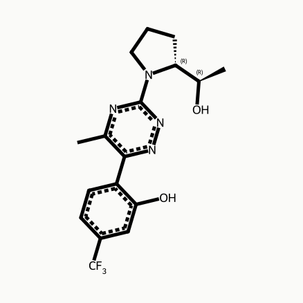 Cc1nc(N2CCC[C@@H]2[C@@H](C)O)nnc1-c1ccc(C(F)(F)F)cc1O